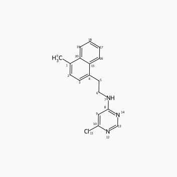 Cc1ccc(CCNc2cc(Cl)ncn2)c2ccccc12